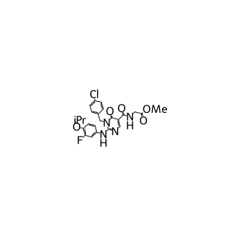 COC(=O)CNC(=O)c1cnc(Nc2ccc(OC(C)C)c(F)c2)n(Cc2ccc(Cl)cc2)c1=O